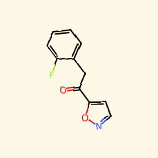 O=C(Cc1ccccc1F)c1ccno1